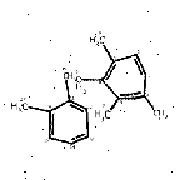 Cc1ccc(C)c(C)c1C.Cc1ccccc1C